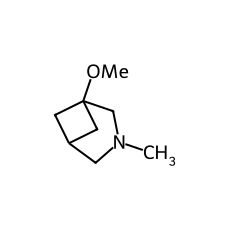 COC12CC(CN(C)C1)C2